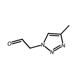 Cc1cn(CC=O)nn1